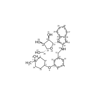 C[N+]1(C)CCC(Oc2cccc(CNc3nc4ccccc4n3[C@@H]3O[C@H](CO)[C@@H](O)[C@H]3O)c2)CC1